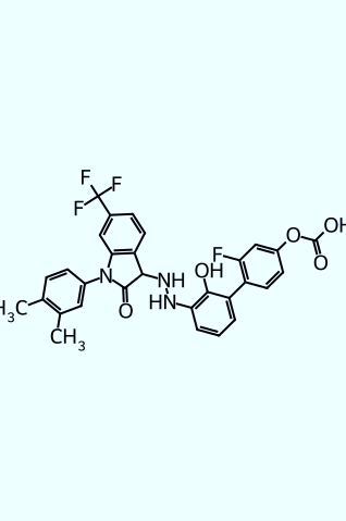 Cc1ccc(N2C(=O)C(NNc3cccc(-c4ccc(OC(=O)O)cc4F)c3O)c3ccc(C(F)(F)F)cc32)cc1C